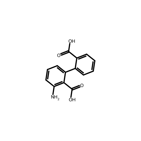 Nc1cccc(-c2ccccc2C(=O)O)c1C(=O)O